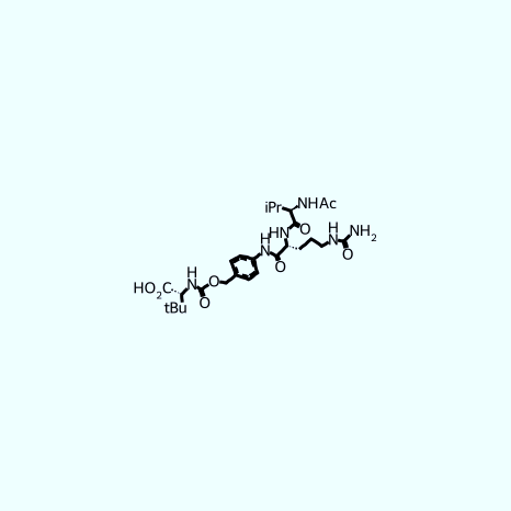 CC(=O)N[C@@H](C(=O)N[C@H](CCCNC(N)=O)C(=O)Nc1ccc(COC(=O)N[C@@H](C(=O)O)C(C)(C)C)cc1)C(C)C